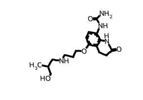 CC(CO)CNCCCOc1ccc(NC(N)=O)c2c1CCC(=O)N2